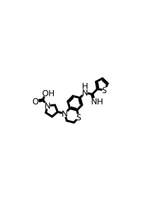 N=C(Nc1ccc2c(c1)SCCN2C1CCN(C(=O)O)C1)c1cccs1